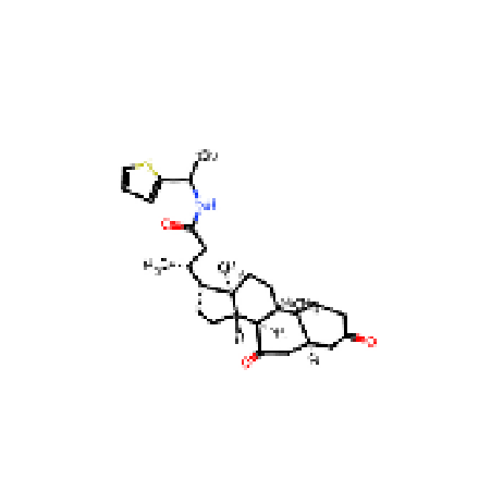 C[C@H](CC(=O)NC(c1cccs1)C(C)(C)C)[C@H]1CC[C@H]2[C@@H]3C(=O)C[C@@H]4CC(=O)CC[C@]4(C)[C@H]3CC[C@]12C